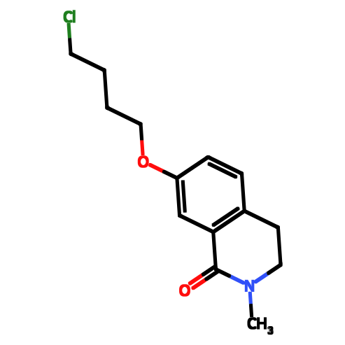 CN1CCc2ccc(OCCCCCl)cc2C1=O